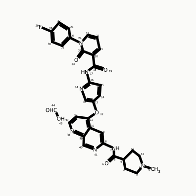 CN1CCC(C(=O)Nc2cc3c(Oc4ccc(NC(=O)c5cccn(-c6ccc(F)cc6)c5=O)nc4)ccnc3cn2)CC1.O=CO